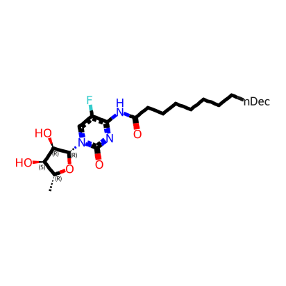 CCCCCCCCCCCCCCCCCC(=O)Nc1nc(=O)n([C@@H]2O[C@H](C)[C@@H](O)[C@H]2O)cc1F